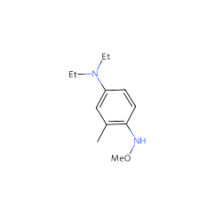 CCN(CC)c1ccc(NOC)c(C)c1